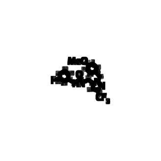 COc1ccc(Cn2nc(C(F)(F)F)cc2CNC(=O)Cc2cccc(F)c2)cc1